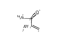 C=CC(N)=O.[KH]